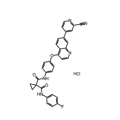 Cl.N#Cc1cc(-c2ccc3c(Oc4ccc(NC(=O)C5(C(=O)Nc6ccc(F)cc6)CC5)cc4)ccnc3c2)ccn1